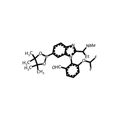 CCC(NC)c1nc2ccc(B3OC(C)(C)C(C)(C)O3)cc2n1-c1c(C=O)cccc1OC(F)F